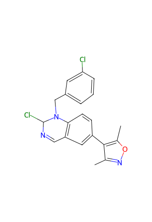 Cc1noc(C)c1-c1ccc2c(c1)C=NC(Cl)N2Cc1cccc(Cl)c1